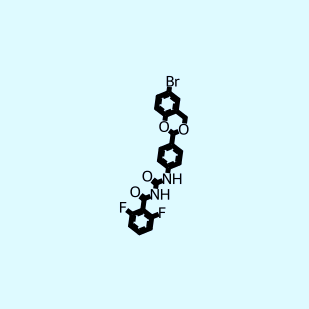 O=C(NC(=O)c1c(F)cccc1F)Nc1ccc(C2OCc3cc(Br)ccc3O2)cc1